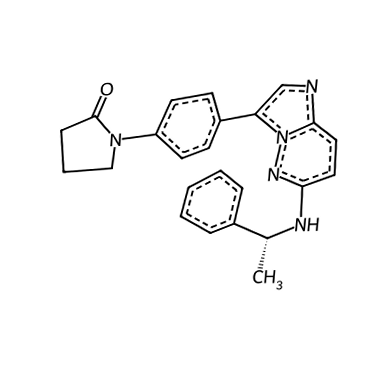 C[C@@H](Nc1ccc2ncc(-c3ccc(N4CCCC4=O)cc3)n2n1)c1ccccc1